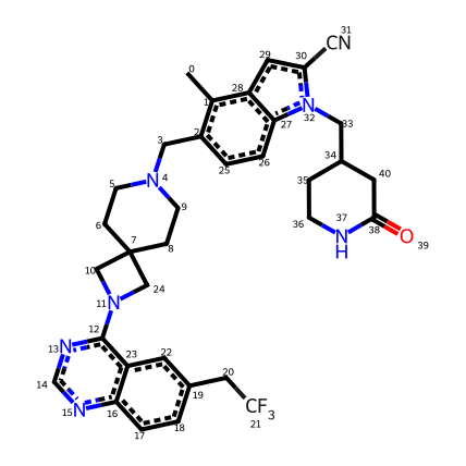 Cc1c(CN2CCC3(CC2)CN(c2ncnc4ccc(CC(F)(F)F)cc24)C3)ccc2c1cc(C#N)n2CC1CCNC(=O)C1